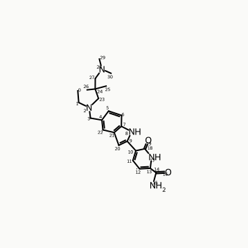 CCN(Cc1ccc2[nH]c(-c3c[c]c(C(N)=O)[nH]c3=O)cc2c1)CC(C)(C)CN(C)C